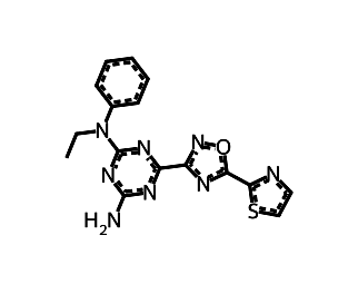 CCN(c1ccccc1)c1nc(N)nc(-c2noc(-c3nccs3)n2)n1